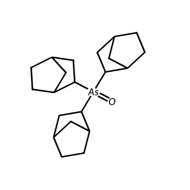 O=[As](C1CC2CCC1C2)(C1CC2CCC1C2)C1CC2CCC1C2